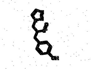 O=[S+]C(Cc1ccc(O)cc1)Cn1ccnn1